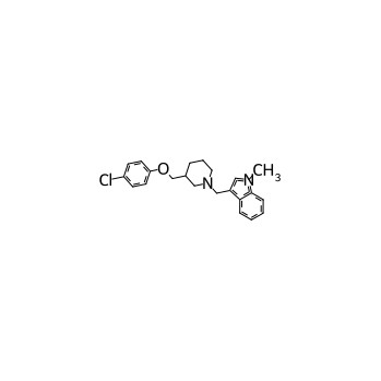 Cn1cc(CN2CCCC(COc3ccc(Cl)cc3)C2)c2ccccc21